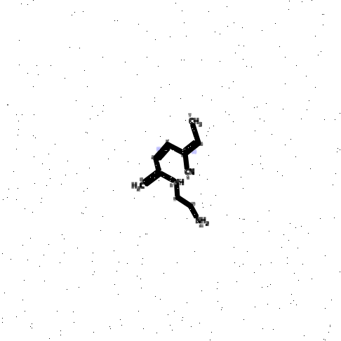 C=C(/C=C\C(C#N)=C/C)NCCN